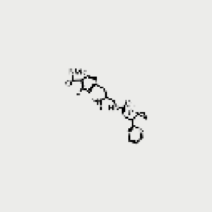 CNC(=O)c1ccc(CC(CNC(=O)CC(c2ccccn2)C2(C(F)(F)F)CC2)N(C)C)cc1F